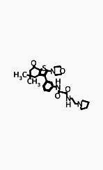 CC1(C)CC(=O)c2sc(N3CCOCC3)c(-c3cccc(NC(=O)C(=O)NCCN4CCCC4)c3)c2C1